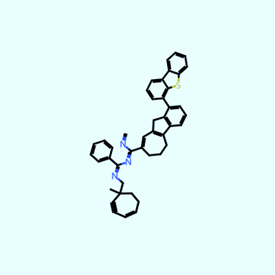 C=N/C(=N\C(=N/CC1(C)C#CC=CCC1)c1ccccc1)C1=CC2=C(CCC1)c1cccc(-c3cccc4c3sc3ccccc34)c1C2